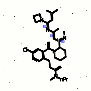 C=C(CCc1ccc(Cl)cc1C(=C)N1CCCCC1C(/C=C(C)/N=C(\C=C(C)C)N1CCC1)=N/C)N(C)CCC